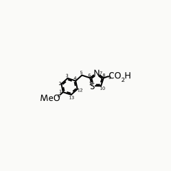 COc1ccc(Cc2nc(C(=O)O)cs2)cc1